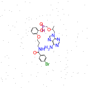 CC(Cn1cnc2c(N)ncnc21)OC[PH](=O)Oc1ccccc1OCCCNC(=O)c1ccc(Br)cc1